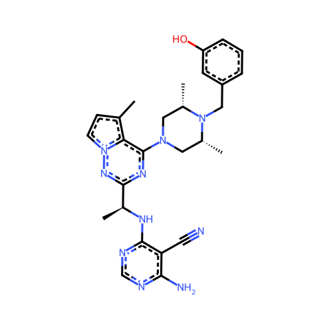 Cc1ccn2nc([C@H](C)Nc3ncnc(N)c3C#N)nc(N3C[C@@H](C)N(Cc4cccc(O)c4)[C@@H](C)C3)c12